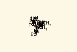 CCOc1cnc(-c2cc(=O)n(-c3ccc(Cl)c4c(NS(C)(=O)=O)nn(C)c34)c([C@H](Cc3cc(F)cc(F)c3)NC(=O)Cn3nc(C(F)F)c4c3C(F)(F)[C@@H]3C[C@H]43)n2)nc1